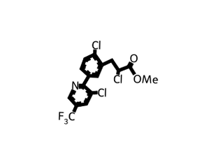 COC(=O)C(Cl)Cc1cc(-c2ncc(C(F)(F)F)cc2Cl)ccc1Cl